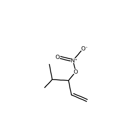 C=CC(O[N+](=O)[O-])C(C)C